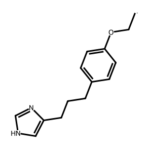 [CH2]COc1ccc(CCCc2c[nH]cn2)cc1